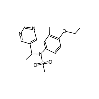 CCOc1ccc(N(C(C)c2cncnc2)S(C)(=O)=O)cc1C